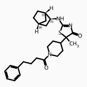 CC1(C2CCN(C(=O)CCCc3ccccc3)CC2)SC(N[C@H]2C[C@@H]3CC[C@H]2C3)=NC1=O